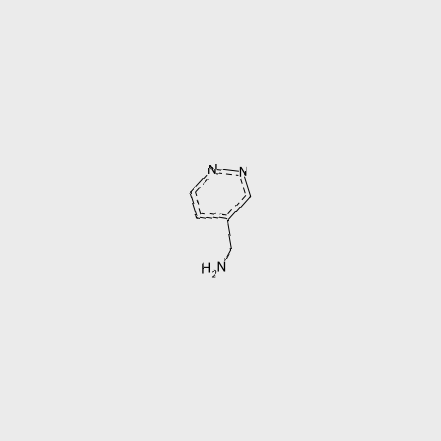 NCc1ccnnc1